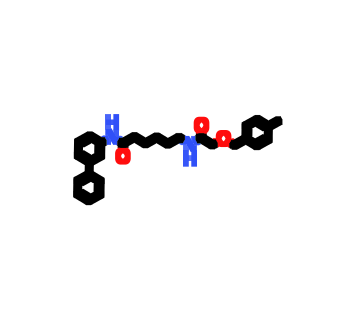 Cc1ccc(COCC(=O)NCCCCCC(=O)Nc2cccc(-c3ccccc3)c2)cc1